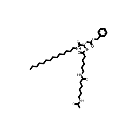 CCCCCCCCCCCCCCNC(=O)[C@H](CC(=O)OCc1ccccc1)NC(=O)CCCCCNC(=O)CCCCCNC(C)=O